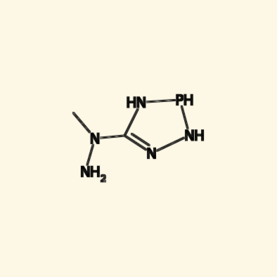 CN(N)C1=NNPN1